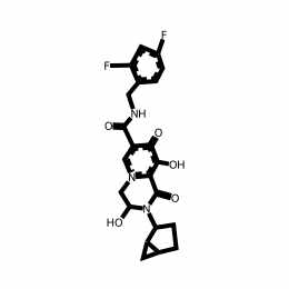 O=C(NCc1ccc(F)cc1F)c1cn2c(c(O)c1=O)C(=O)N(C1CCC3CC31)C(O)C2